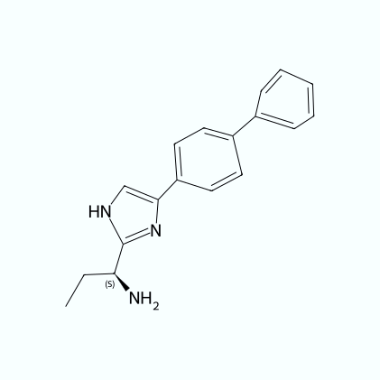 CC[C@H](N)c1nc(-c2ccc(-c3ccccc3)cc2)c[nH]1